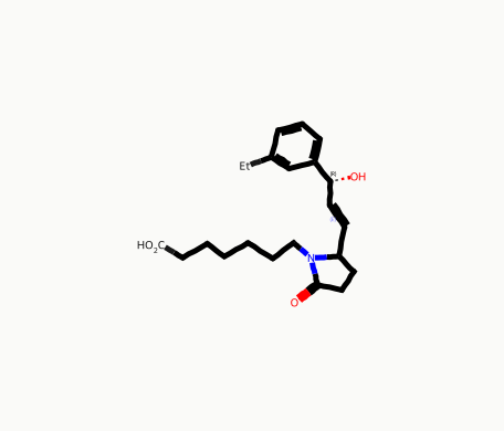 CCc1cccc([C@H](O)/C=C/C2CCC(=O)N2CCCCCCC(=O)O)c1